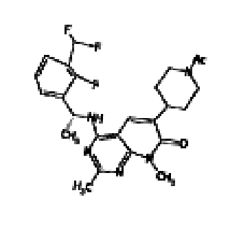 CC(=O)N1CCC(c2cc3c(N[C@H](C)c4cccc(C(F)F)c4F)nc(C)nc3n(C)c2=O)CC1